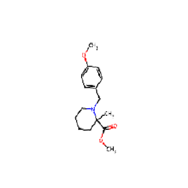 COC(=O)C1(C)CCCCN1Cc1ccc(OC)cc1